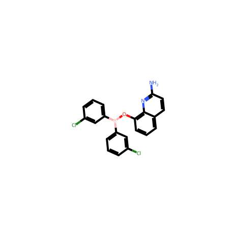 Nc1ccc2cccc(OB(c3cccc(Cl)c3)c3cccc(Cl)c3)c2n1